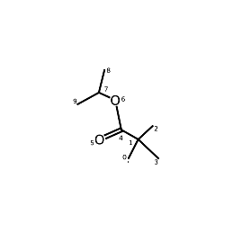 [CH2]C(C)(C)C(=O)OC(C)C